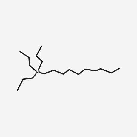 CCCCCCCCCC[N+](CCC)(CCC)CCC